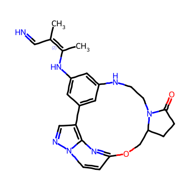 C/C(C=N)=C(\C)Nc1cc2cc(c1)-c1cnn3ccc(nc13)OCC1CCC(=O)N1CCN2